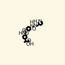 C=C(C(=O)O)c1ccc(NS(=O)(=O)c2ccc(NC(=O)NCc3cccnc3)cc2)cc1